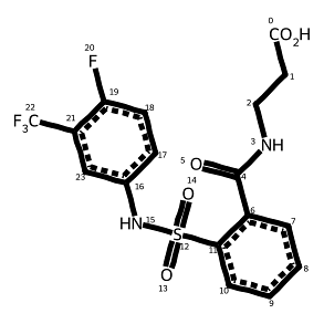 O=C(O)CCNC(=O)c1ccccc1S(=O)(=O)Nc1ccc(F)c(C(F)(F)F)c1